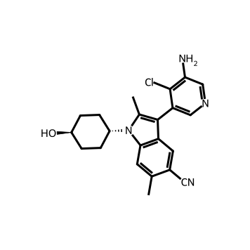 Cc1cc2c(cc1C#N)c(-c1cncc(N)c1Cl)c(C)n2[C@H]1CC[C@H](O)CC1